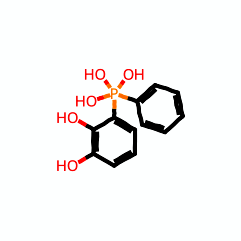 Oc1cccc(P(O)(O)(O)c2ccccc2)c1O